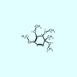 COC1=C(OC)C(OC)C(C)(OC)C=C1